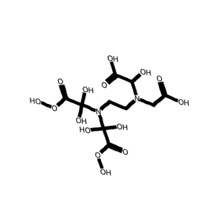 O=C(O)CN(CCN(C(O)(O)C(=O)OO)C(O)(O)C(=O)OO)C(O)C(=O)O